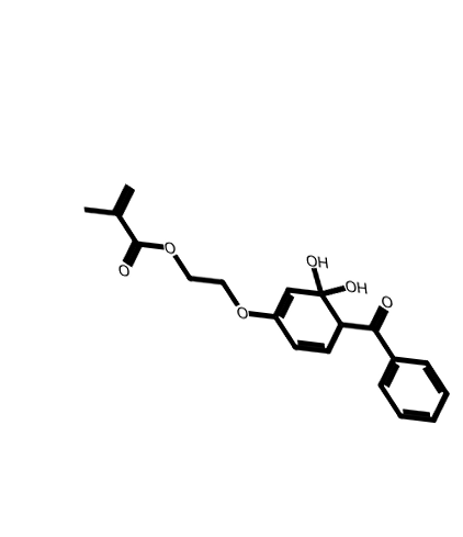 C=C(C)C(=O)OCCOC1=CC(O)(O)C(C(=O)c2ccccc2)C=C1